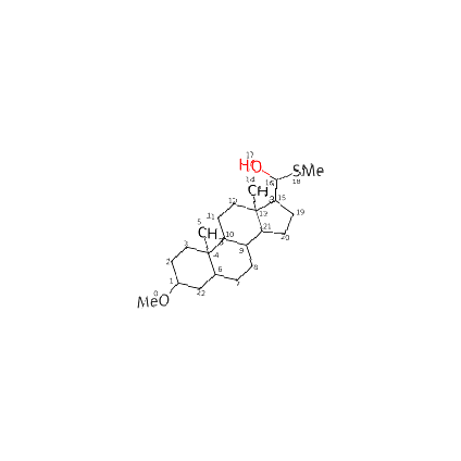 COC1CCC2(C)C(CCC3C2CCC2(C)C(C(O)SC)CCC32)C1